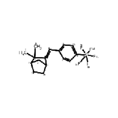 CC1(C)/C(=C/c2ccc(S(F)(F)(F)(F)F)cc2)C2CCC1C2